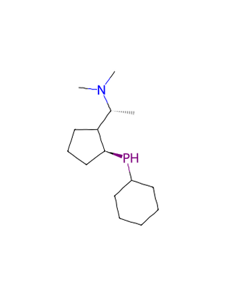 C[C@H](C1CCC[C@@H]1PC1CCCCC1)N(C)C